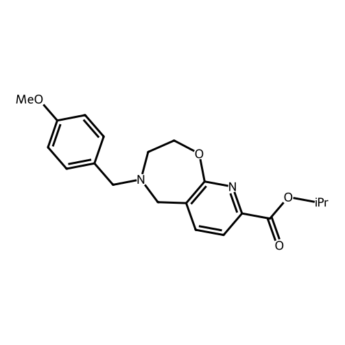 COc1ccc(CN2CCOc3nc(C(=O)OC(C)C)ccc3C2)cc1